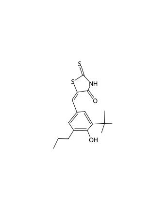 CCCc1cc(C=C2SC(=S)NC2=O)cc(C(C)(C)C)c1O